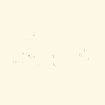 CN(C)c1ccc(-c2cnc(-c3ccc(CC(NC(=O)c4ccc(C(C)(C)C)cc4)C(=O)O)cc3)nc2)cc1